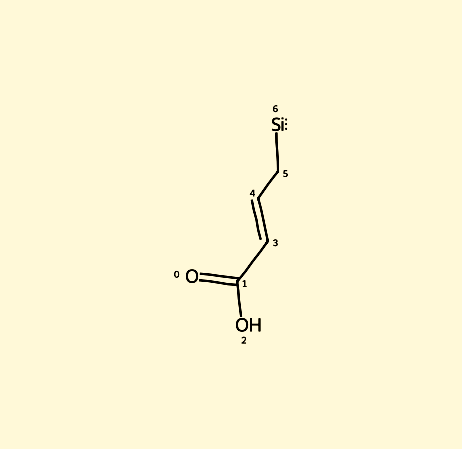 O=C(O)C=CC[Si]